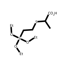 CCO[Si](CCSC(C)C(=O)O)(OCC)OCC